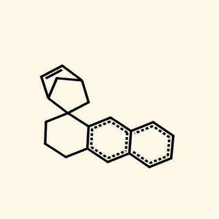 C1=CC2CC1CC21CCCc2cc3ccccc3cc21